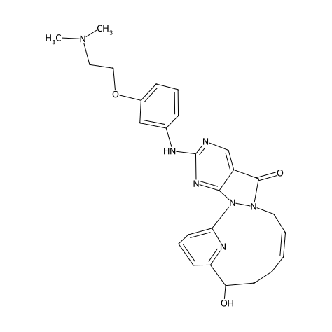 CN(C)CCOc1cccc(Nc2ncc3c(=O)n4n(c3n2)-c2cccc(n2)C(O)CC/C=C\C4)c1